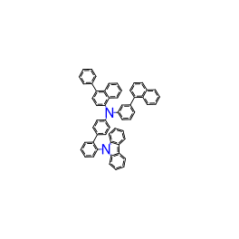 c1ccc(-c2ccc(N(c3ccc(-c4ccccc4-n4c5ccccc5c5ccccc54)cc3)c3cccc(-c4cccc5ccccc45)c3)c3ccccc23)cc1